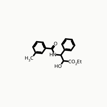 CCOC(=O)C(O)C(NC(=O)c1cccc(C)c1)c1ccccc1